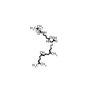 CC(C)=CCCC(C)=CCCC(C)=CCSC[C@H](NC(=O)CCCNC(=O)OC(C)(C)C)C(=O)O